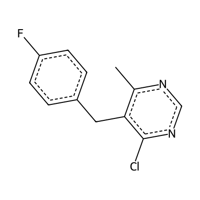 Cc1ncnc(Cl)c1Cc1ccc(F)cc1